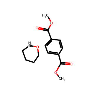 C1CC[SiH2]OC1.COC(=O)c1ccc(C(=O)OC)cc1